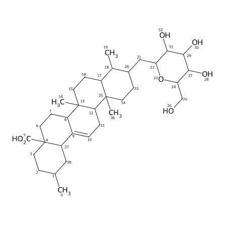 CC1CCC2(C(=O)O)CCC3C(=CCC4C3(C)CCC3C(C)C(CC5OC(CO)C(O)C(O)C5O)CCC34C)C2C1